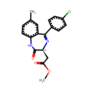 COC(=O)C[C@@H]1N=C(c2ccc(Cl)cc2)c2cc(C)ccc2NC1=O